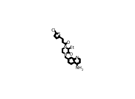 CCC1C(=O)N(Cc2ccc3c(N)ccnc3c2)CCN1C(=O)C=Cc1ccc(Cl)s1